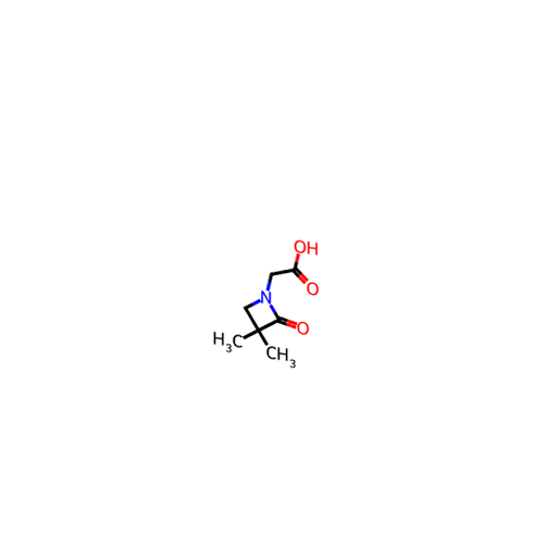 CC1(C)CN(CC(=O)O)C1=O